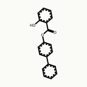 O=C(Oc1ccc(-c2ccccc2)cc1)c1ccccc1O